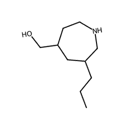 CCCC1CNCCC(CO)C1